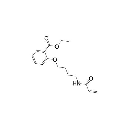 C=CC(=O)NCCCCOc1ccccc1C(=O)OCC